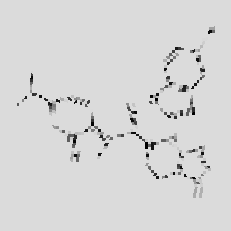 CN(C)c1ccc2c(C(=O)N3CCc4[nH]cnc4[C@H]3c3nc4cc(F)ccc4o3)cnn2c1